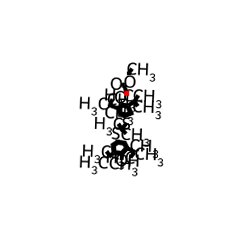 CCOC(=O)COc1c(C(C)(C)C)cc(SC(C)(C)Sc2cc(C(C)(C)C)c(O)c(C(C)(C)C)c2)cc1C(C)(C)C